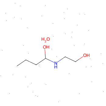 CCCC(O)NCCO.O